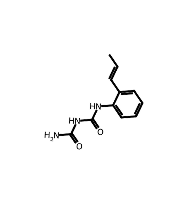 C/C=C/c1ccccc1NC(=O)NC(N)=O